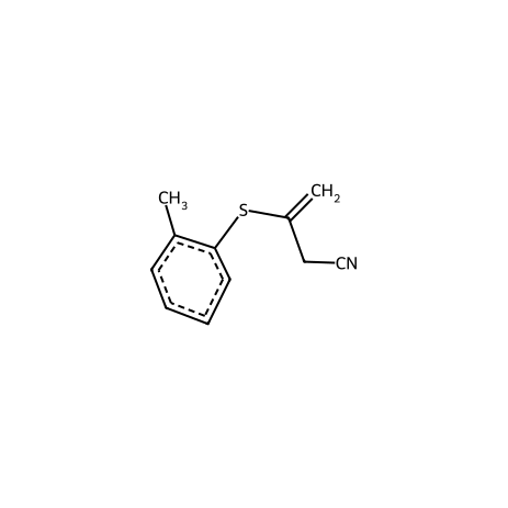 C=C(CC#N)Sc1ccccc1C